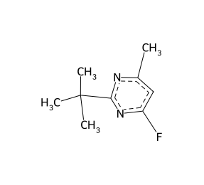 Cc1cc(F)nc(C(C)(C)C)n1